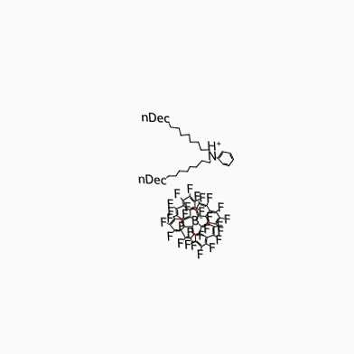 CCCCCCCCCCCCCCCCCC[NH+](CCCCCCCCCCCCCCCCCC)c1ccccc1.Fc1c(F)c(F)c2c([B-](c3c(F)c(F)c(F)c4c(F)c(F)c(F)c(F)c34)(c3c(F)c(F)c(F)c4c(F)c(F)c(F)c(F)c34)c3c(F)c(F)c(F)c4c(F)c(F)c(F)c(F)c34)c(F)c(F)c(F)c2c1F